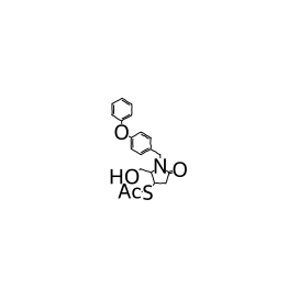 CC(=O)SC1CC(=O)N(Cc2ccc(Oc3ccccc3)cc2)C1CO